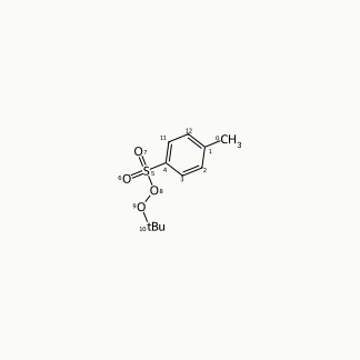 Cc1ccc(S(=O)(=O)OOC(C)(C)C)cc1